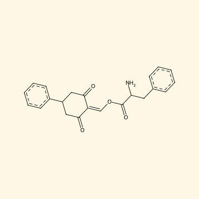 NC(Cc1ccccc1)C(=O)OC=C1C(=O)CC(c2ccccc2)CC1=O